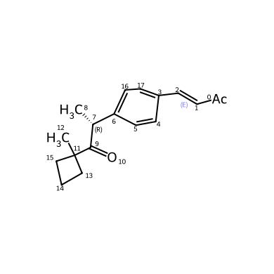 CC(=O)/C=C/c1ccc([C@@H](C)C(=O)C2(C)CCC2)cc1